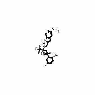 COc1ccc(F)cc1C(C)(C)CC(O)(NCc1cc2cc(N)ncc2[nH]1)C(F)(F)F